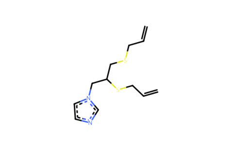 C=CCSCC(Cn1ccnc1)SCC=C